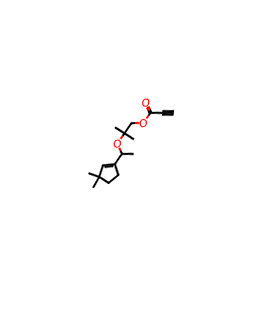 C#CC(=O)OCC(C)(C)OC(C)C1=CC(C)(C)CC1